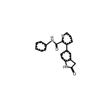 O=C1Cc2cc(-c3cccnc3C(=O)Nc3ccccc3)ccc2N1